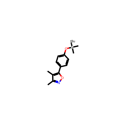 [CH2]c1c(C)noc1-c1ccc(O[Si](C)(C)C(C)(C)C)cc1